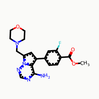 COC(=O)c1ccc(-c2cc(CN3CCOCC3)n3ncnc(N)c23)cc1F